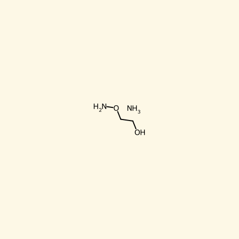 N.NOCCO